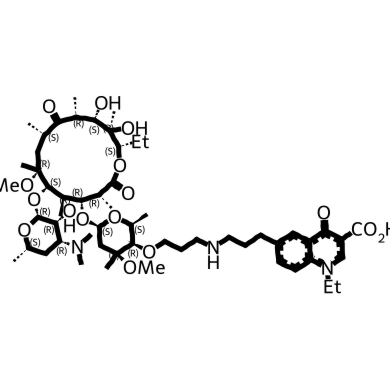 CC[C@@H]1OC(=O)[C@H](C)[C@H](O[C@@H]2C[C@](C)(OC)[C@H](OCCCNCCCc3ccc4c(c3)c(=O)c(C(=O)O)cn4CC)[C@H](C)O2)[C@@H](C)[C@H](O[C@H]2O[C@@H](C)C[C@@H](N(C)C)[C@H]2O)[C@](C)(OC)C[C@H](C)C(=O)[C@H](C)[C@H](O)[C@@]1(C)O